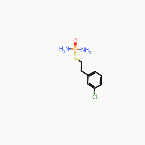 NP(N)(=O)SCCc1cccc(Cl)c1